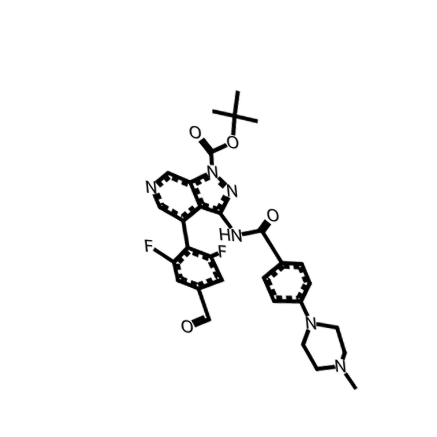 CN1CCN(c2ccc(C(=O)Nc3nn(C(=O)OC(C)(C)C)c4cncc(-c5c(F)cc(C=O)cc5F)c34)cc2)CC1